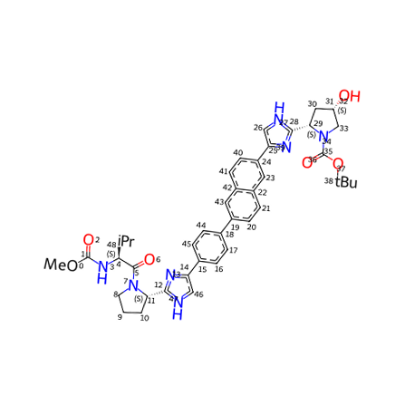 COC(=O)N[C@H](C(=O)N1CCC[C@H]1c1nc(-c2ccc(-c3ccc4cc(-c5c[nH]c([C@@H]6C[C@H](O)CN6C(=O)OC(C)(C)C)n5)ccc4c3)cc2)c[nH]1)C(C)C